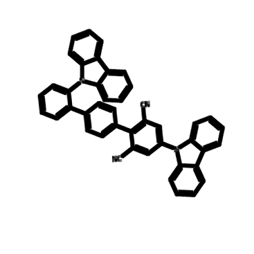 N#Cc1cc(-n2c3ccccc3c3ccccc32)cc(C#N)c1-c1ccc(-c2ccccc2-n2c3ccccc3c3ccccc32)cc1